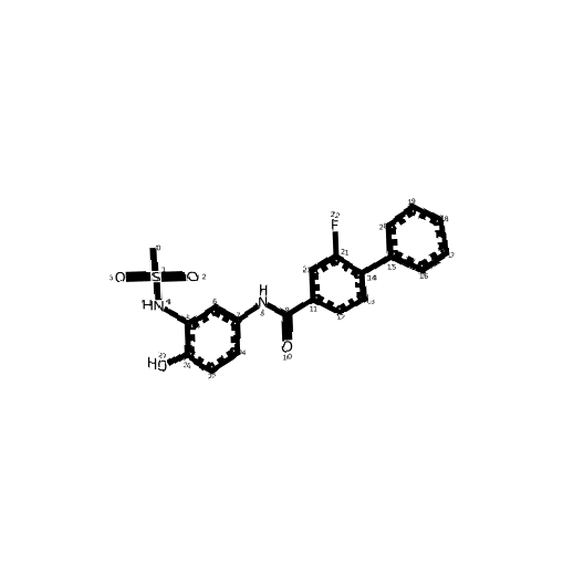 CS(=O)(=O)Nc1cc(NC(=O)c2ccc(-c3ccccc3)c(F)c2)ccc1O